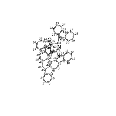 c1ccc2c(c1)-c1cc3c4ccccc4n(-c4nc(-n5c6ccccc6c6ccccc65)c5oc6ccccc6c5n4)c3c3c1C2Cc1ccc2ccccc2c1-3